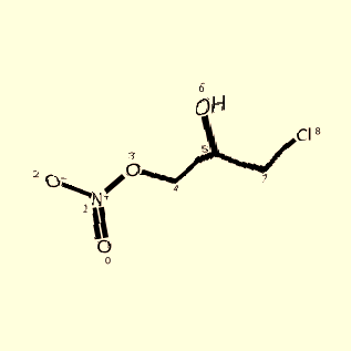 O=[N+]([O-])OCC(O)CCl